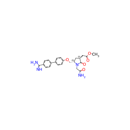 COC(=O)C[C@@H]1C[C@@H](COc2ccc(-c3ccc(C(=N)N)cc3)cc2)N(CC(N)=O)C1=O